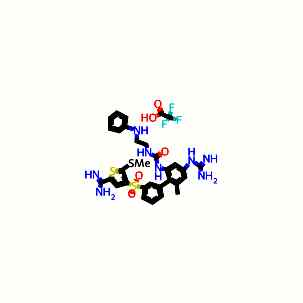 CSc1sc(C(=N)N)cc1S(=O)(=O)c1cccc(-c2c(C)cc(NC(=N)N)cc2NC(=O)NCCNc2ccccc2)c1.O=C(O)C(F)(F)F